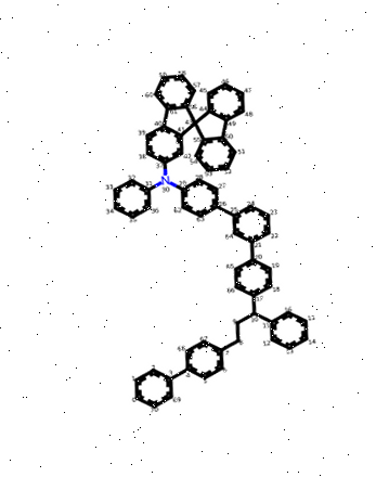 c1ccc(-c2ccc(CCC(c3ccccc3)c3ccc(-c4cccc(-c5ccc(N(c6ccccc6)c6ccc7c(c6)C6(c8ccccc8-c8ccccc86)c6ccccc6-7)cc5)c4)cc3)cc2)cc1